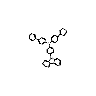 C1=CC(c2ccc(N(c3ccc(-c4ccccc4)cc3)c3ccc(-n4c5ccccc5c5ccccc54)cc3)cc2)=CCC1